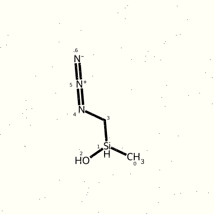 C[SiH](O)CN=[N+]=[N-]